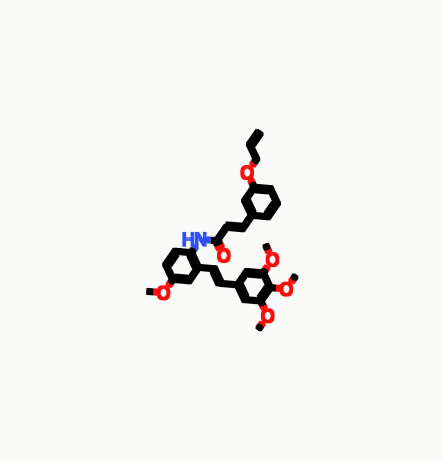 C=CCOc1cccc(/C=C/C(=O)Nc2ccc(OC)cc2/C=C/c2cc(OC)c(OC)c(OC)c2)c1